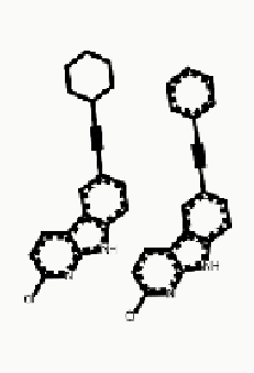 Clc1ccc2c(n1)[nH]c1ccc(C#CC3CCCCC3)cc12.Clc1ccc2c(n1)[nH]c1ccc(C#Cc3ccccc3)cc12